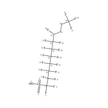 O=S(=O)(O)C(F)(F)C(F)(F)C(F)(F)C(F)(F)C(F)(F)C(F)(F)C(F)(F)C(F)CCC(F)(F)F